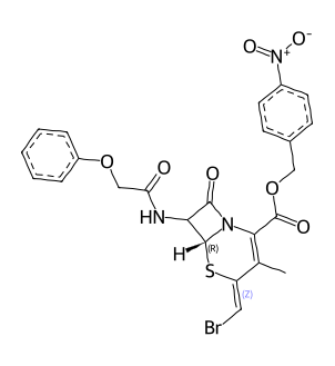 CC1=C(C(=O)OCc2ccc([N+](=O)[O-])cc2)N2C(=O)C(NC(=O)COc3ccccc3)[C@H]2S/C1=C\Br